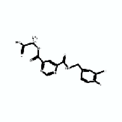 C[C@H](NC(=O)c1cc(C(=O)NCc2ccc(F)c(Cl)c2)ncn1)C(=O)O